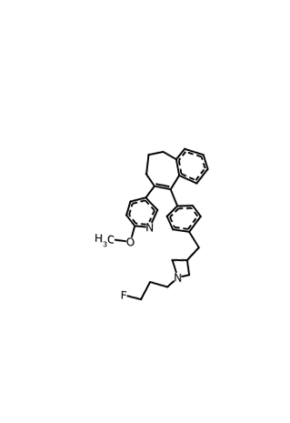 COc1ccc(C2=C(c3ccc(CC4CN(CCCF)C4)cc3)c3ccccc3CCC2)cn1